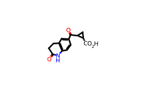 O=C1CCc2cc(C(=O)C3CC3C(=O)O)ccc2N1